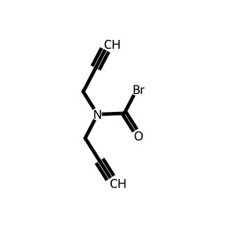 C#CCN(CC#C)C(=O)Br